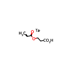 C=CC(=O)OCCC(=O)O.[Ta]